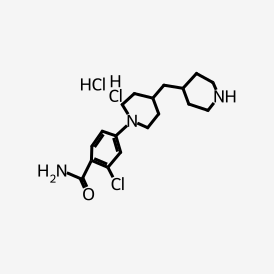 Cl.Cl.NC(=O)c1ccc(N2CCC(CC3CCNCC3)CC2)cc1Cl